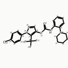 O=C(Nc1ccccc1N1CCCCC1)Oc1cnn(-c2ccc(Cl)cc2)c1C(F)(F)F